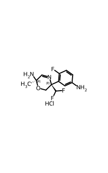 C[C@]1(N)C=N[C@@](c2cc(N)ccc2F)(C(F)F)CO1.Cl